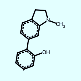 CN1CCc2ccc(-c3cc[c]cc3O)cc21